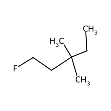 CCC(C)(C)CCF